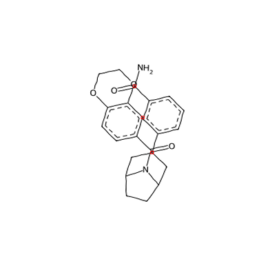 NC(=O)c1cccc(C2CC3CCC(C2)N3C(=O)c2ccc3c(c2)OCCO3)c1